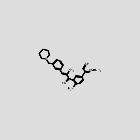 CN/C=C(\C=N)c1ccc(N)c(C(=N)/C(N)=C/c2cccc(CN3CCCCC3)c2)c1